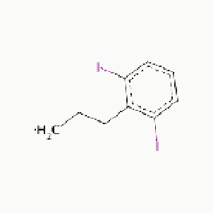 [CH2]CCc1c(I)cccc1I